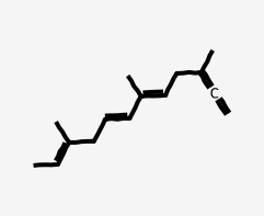 C=C=C(C)C/C=C(C)/C=C/C/C(C)=C/C